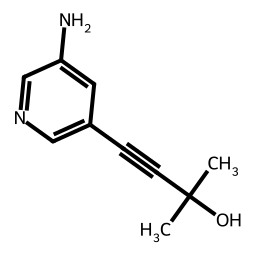 CC(C)(O)C#Cc1cncc(N)c1